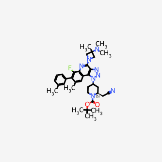 Cc1cccc(-c2c(C)cc3c(nc(N4CC(C)(N(C)C)C4)c4nnn(C5CCN(C(=O)OC(C)(C)C)[C@H](CC#N)C5)c43)c2F)c1